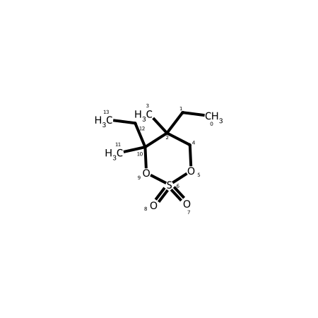 CCC1(C)COS(=O)(=O)OC1(C)CC